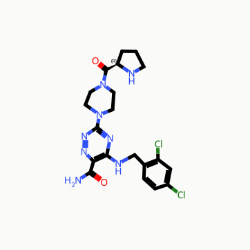 NC(=O)c1nnc(N2CCN(C(=O)[C@H]3CCCN3)CC2)nc1NCc1ccc(Cl)cc1Cl